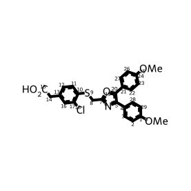 COc1ccc(-c2nc(CSc3ccc(CC(=O)O)cc3Cl)oc2-c2ccc(OC)cc2)cc1